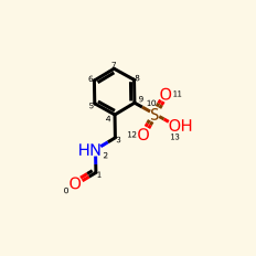 O=CNCc1ccccc1S(=O)(=O)O